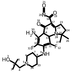 CC(C)(O)CN1CCC(NC2=C(F)C3C(C(=O)C(C(=O)N=O)=C4CCC(C)(C)N43)C(N)=C2F)CC1